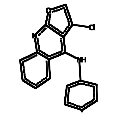 Clc1coc2nc3ccccc3c(Nc3cc[c]cc3)c12